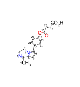 CC1=NCCn2c1ccc2-c1ccc(OC(=O)/C=C/C(=O)O)cc1